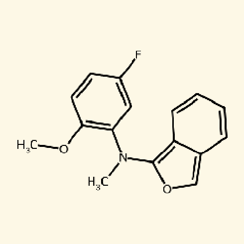 COc1ccc(F)cc1N(C)c1occ2ccccc12